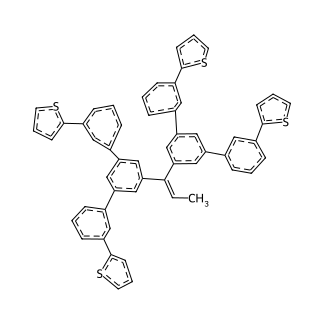 CC=C(c1cc(-c2cccc(-c3cccs3)c2)cc(-c2cccc(-c3cccs3)c2)c1)c1cc(-c2cccc(-c3cccs3)c2)cc(-c2cccc(-c3cccs3)c2)c1